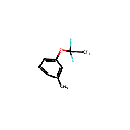 Cc1cccc(OC(F)(F)C(F)(F)F)c1